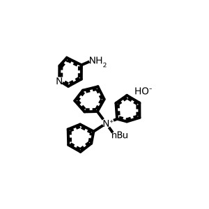 CCCC[N+](c1ccccc1)(c1ccccc1)c1ccccc1.Nc1ccncc1.[OH-]